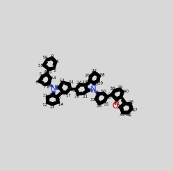 c1ccc(-c2cccc(-n3c4ccccc4c4cc(-c5ccc6c(c5)c5ccccc5n6-c5cccc(-c6cccc7c6oc6ccccc67)c5)ccc43)c2)cc1